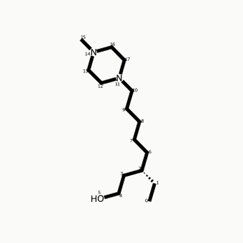 CC[C@H](CCO)CCCCCN1CCN(C)CC1